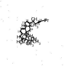 CCC(C)(C)C(C)(C)C1([SiH3])C(=O)CC2=CC=C3[C@@H]4CC=C([C@H](C)CC#CC(C)C)[C@@]4(C)CC[C@@H]3[C@@]2(C)C1O